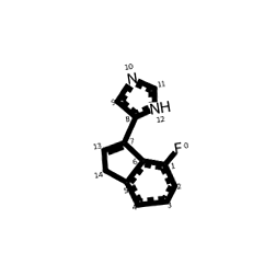 Fc1cccc2c1C(c1cnc[nH]1)=CC2